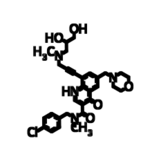 CN(CC#Cc1cc(CN2CCOCC2)cc2c(=O)c(C(=O)N(C)Cc3ccc(Cl)cc3)c[nH]c12)CC(O)CO